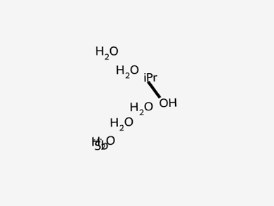 CC(C)O.O.O.O.O.O.[Sb]